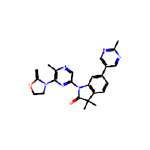 C=C1OCCN1c1nc(N2C(=O)C(C)(C)c3ccc(-c4cnc(C)nc4)cc32)cnc1C